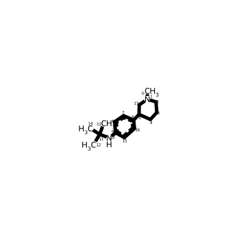 CN1CCCC(c2ccc(NC(C)(C)C)cc2)C1